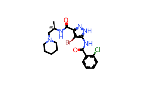 C[C@H](CN1CCCCC1)NC(=O)c1n[nH]c(NC(=O)c2ccccc2Cl)c1Br